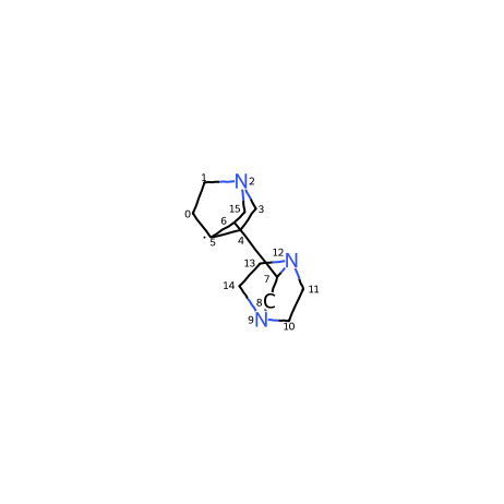 C1CN2CC[C]1C(C1CN3CCN1CC3)C2